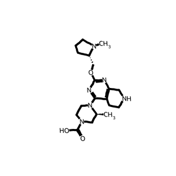 C[C@H]1CN(C(=O)O)CCN1c1nc(OC[C@@H]2CCCN2C)nc2c1CCNC2